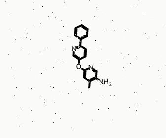 Cc1cc(Oc2ccc(-c3ccccc3)nc2)ncc1N